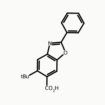 CC(C)(C)c1cc2nc(-c3ccccc3)oc2cc1C(=O)O